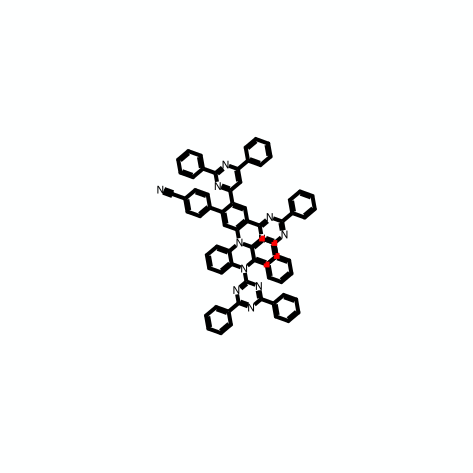 N#Cc1ccc(-c2cc(N3c4ccccc4N(c4nc(-c5ccccc5)nc(-c5ccccc5)n4)c4ccccc43)c(-c3nc(-c4ccccc4)nc(-c4ccccc4)n3)cc2-c2cc(-c3ccccc3)nc(-c3ccccc3)n2)cc1